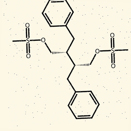 CS(=O)(=O)OC[C@H](Cc1ccccc1)[C@H](COS(C)(=O)=O)Cc1ccccc1